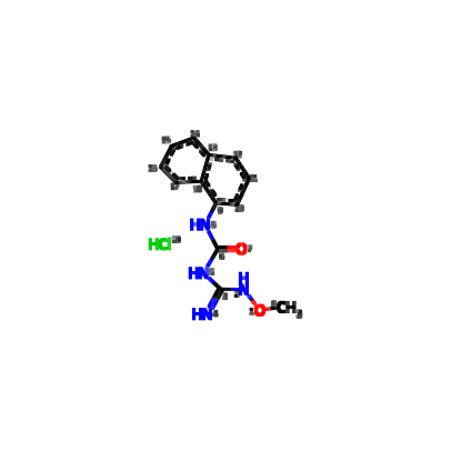 CONC(=N)NC(=O)Nc1cccc2ccccc12.Cl